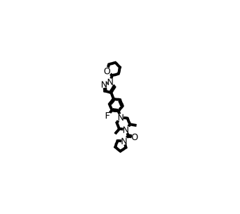 CC1CN(c2ccc(-c3cnn(C4CCCCO4)c3)cc2F)CC(C)N1C(=O)N1CCCC1